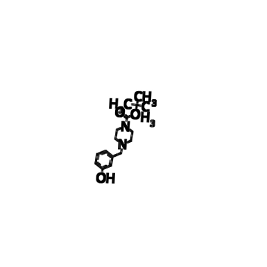 CC(C)(C)OC(=O)N1CCN(Cc2cccc(O)c2)CC1